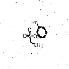 CC(C)c1ccccc1.CCS(=O)(=O)O